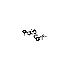 C[C@@H](Cc1cccc(CNC(=O)O)c1)Nc1nccc(N(C)c2nc(-c3ccccc3F)ncc2F)n1